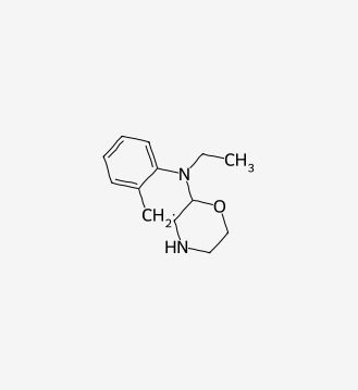 [CH2]c1ccccc1N(CC)C1CNCCO1